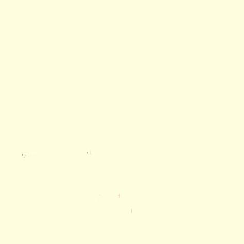 CCCCCCCC/C=C\CCCCCCCC(=O)CC1=CC[C@@]2(O)[C@H]3Cc4ccc(OC)c5c4[C@@]2(CCC3C)[C@H]1O5